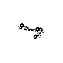 O=C(OCN1C(=O)CCc2ccc(OCCCCN3CCN(c4cccc5sccc45)CC3)cc21)c1ccncc1